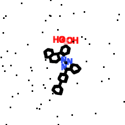 OB(O)C1C=CC2=C(C1)C1C3C=CC=CC3C=CC1N2c1nc2c(c(C3=CCC(C4=CCCC=C4)C=C3)n1)C=CCC2